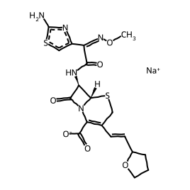 CO/N=C(\C(=O)N[C@@H]1C(=O)N2C(C(=O)[O-])=C(/C=C/C3CCCO3)CS[C@@H]12)c1csc(N)n1.[Na+]